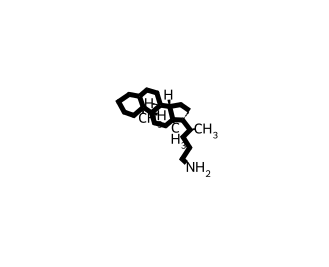 C[C@H](CCCN)[C@H]1CC[C@H]2[C@@H]3CCC4CCCC[C@]4(C)[C@H]3CC[C@]12C